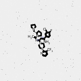 C=C(/N=C(\C=C(/N)c1ccc(F)c(Cl)c1)N1CCN(c2ncccc2C(F)(F)F)CC1)N1CCC[C@H]1CN1CCCC1